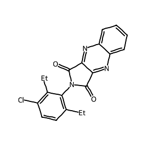 CCc1ccc(Cl)c(CC)c1N1C(=O)c2nc3ccccc3nc2C1=O